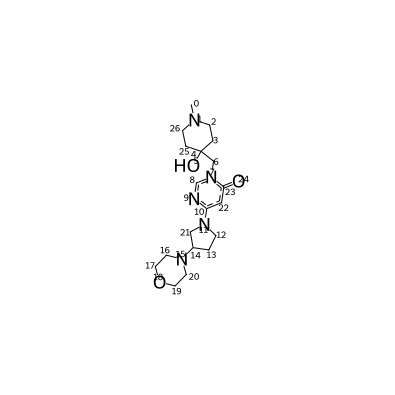 CN1CCC(O)(Cn2cnc(N3CCC(N4CCOCC4)C3)cc2=O)CC1